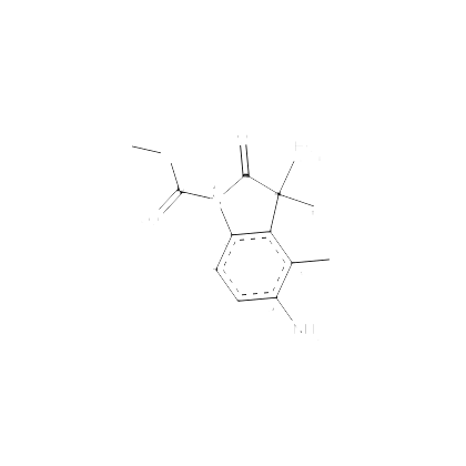 COC(=O)N1C(=O)C(C)(C)c2c1ccc(N)c2C.Cl